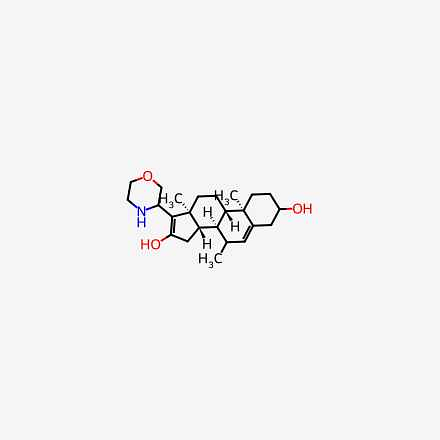 CC1C=C2CC(O)CC[C@]2(C)[C@H]2CC[C@]3(C)C(C4COCCN4)=C(O)C[C@H]3[C@H]12